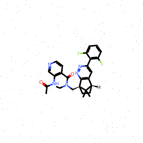 CCN(C[C@@]12CC[C@@H](c3cc(-c4c(F)cccc4F)nnc31)C2(C)C)C(=O)c1ccncc1NC(C)=O